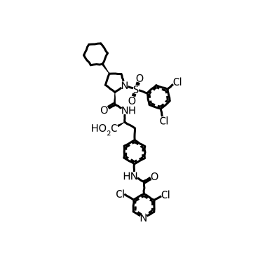 O=C(Nc1ccc(C[C@H](NC(=O)[C@H]2C[C@@H](C3CCCCC3)CN2S(=O)(=O)c2cc(Cl)cc(Cl)c2)C(=O)O)cc1)c1c(Cl)cncc1Cl